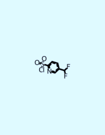 O=S(=O)(Cl)c1ccc(C(F)F)cn1